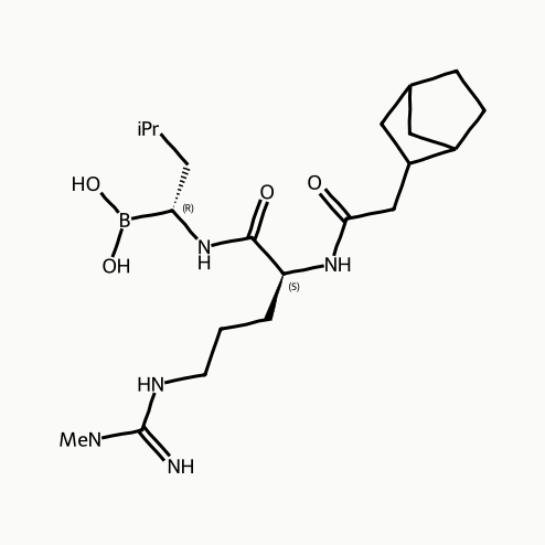 CNC(=N)NCCC[C@H](NC(=O)CC1CC2CCC1C2)C(=O)N[C@@H](CC(C)C)B(O)O